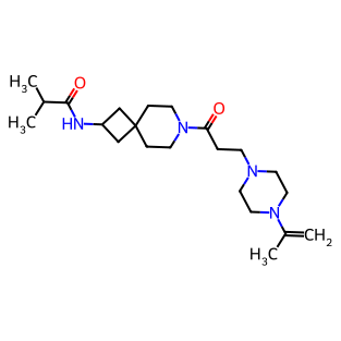 C=C(C)N1CCN(CCC(=O)N2CCC3(CC2)CC(NC(=O)C(C)C)C3)CC1